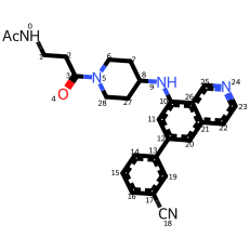 CC(=O)NCCC(=O)N1CCC(Nc2cc(-c3cccc(C#N)c3)cc3ccncc23)CC1